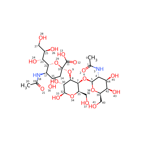 CC(=O)N[C@H]1[C@H](O[C@@H]2[C@H](O[C@]3(C(=O)O)C[C@H](O)[C@@H](NC(C)=O)[C@H]([C@H](O)[C@H](O)CO)O3)[C@@H](O)[C@H](O)O[C@@H]2CO)O[C@H](CO)[C@H](O)[C@@H]1O